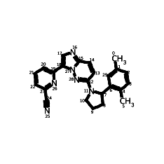 Cc1ccc(C)c(C2CCCN2c2ccc3ncc(-c4cccc(C#N)n4)n3n2)c1